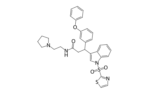 O=C(CC(c1cccc(Oc2ccccc2)c1)c1cn(S(=O)(=O)c2nccs2)c2ccccc12)NCCN1CCCC1